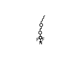 CCCCCCC1CCC(C=CC2CCC(c3cc(F)c(C#N)c(F)c3)CC2)CC1